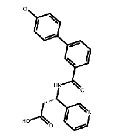 O=C(O)C[C@H](NC(=O)c1cccc(-c2ccc(Cl)cc2)c1)c1cccnc1